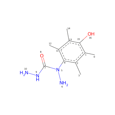 Cc1c(C)c(N(N)C(=O)NN)c(C)c(C)c1O